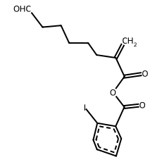 C=C(CCCCCC=O)C(=O)OC(=O)c1ccccc1I